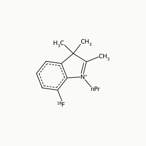 CCC[N+]1=C(C)C(C)(C)c2cccc([18F])c21